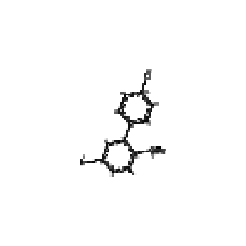 COc1ncc(Br)cc1-c1ccc(Cl)cc1